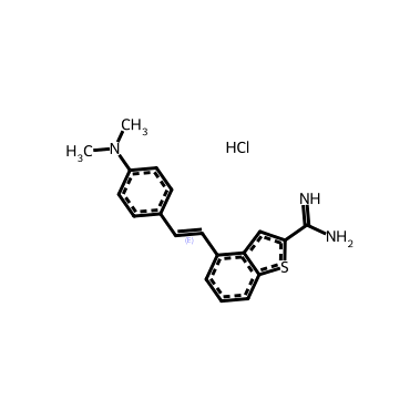 CN(C)c1ccc(/C=C/c2cccc3sc(C(=N)N)cc23)cc1.Cl